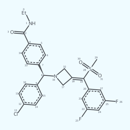 CCNC(=O)c1ccc([C@H](c2ccc(Cl)cc2)N2CC(=C(c3cc(F)cc(F)c3)S(C)(=O)=O)C2)cc1